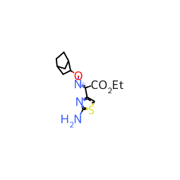 CCOC(=O)/C(=N\OC1CC2CCC1C2)c1csc(N)n1